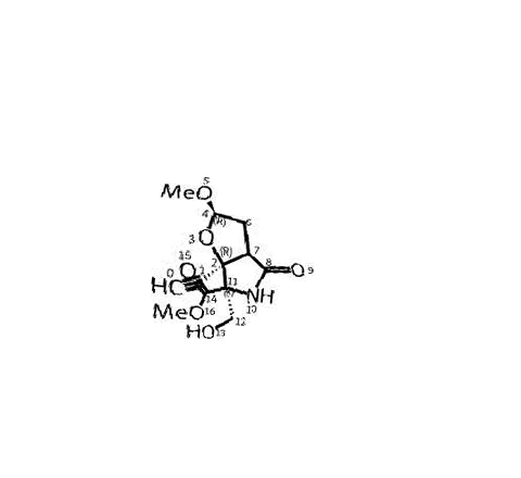 C#C[C@]12O[C@@H](OC)CC1C(=O)N[C@@]2(CO)C(=O)OC